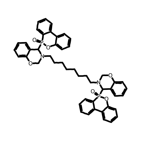 O=P1(C2c3ccccc3OCN2CCCCCCCCN2COc3ccccc3C2P2(=O)Oc3ccccc3-c3ccccc32)Oc2ccccc2-c2ccccc21